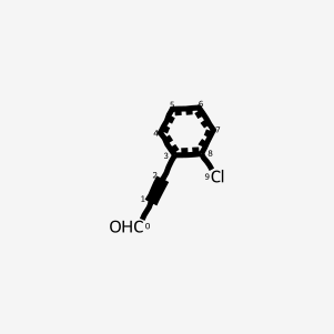 O=CC#Cc1ccccc1Cl